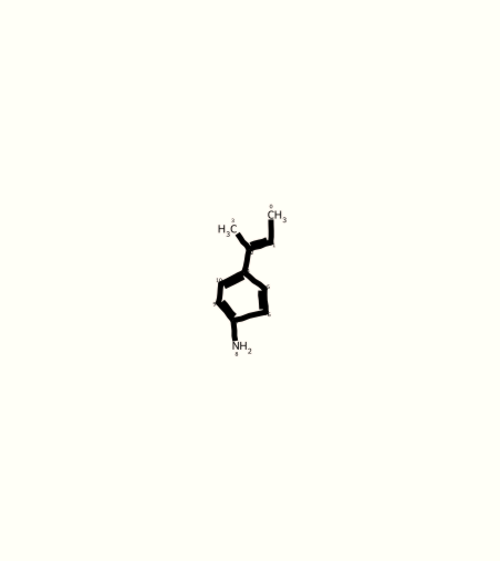 C/C=C(\C)c1ccc(N)cc1